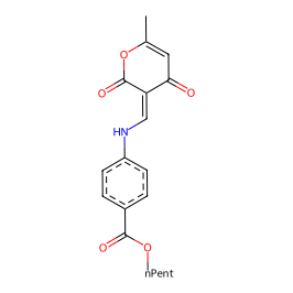 CCCCCOC(=O)c1ccc(NC=C2C(=O)C=C(C)OC2=O)cc1